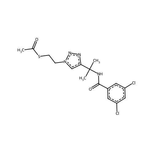 CC(=O)SCCn1cc(C(C)(C)NC(=O)c2cc(Cl)cc(Cl)c2)nn1